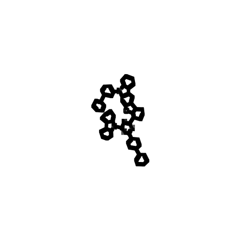 c1ccc(-c2ccc(-c3nc(-c4cccc5c4oc4cc6c(cc45)c4ccccc4n6-c4cccc(-c5ccccc5)c4)nc(-n4c5ccccc5c5ccccc54)n3)cc2)cc1